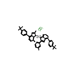 CC1=Cc2c(-c3ccc(C(C)(C)C)cc3)ccc(C)c2[CH]1[Zr+2][CH]1C(c2cccc(C)c2)=Cc2c(-c3ccc(C(C)(C)C)cc3)cccc21.[Cl-].[Cl-]